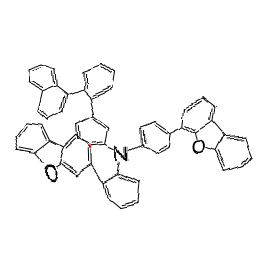 c1cc(-c2ccccc2-c2cccc3ccccc23)cc(N(c2ccc(-c3cccc4c3oc3ccccc34)cc2)c2ccccc2-c2ccc3c(c2)oc2ccccc23)c1